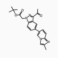 CC(=O)c1nn(CC(=O)OC(C)(C)C)c2ccc(-c3ccc4nc(C)cn4c3)cc12